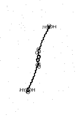 O=C(CCCCCCCCCCCCCCCP(=O)(O)O)OC(=O)c1ccc2cc(C(=O)OC(=O)CCCCCCCCCCCCCCCP(=O)(O)O)ccc2c1